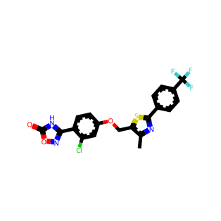 Cc1nc(-c2ccc(C(F)(F)F)cc2)sc1COc1ccc(-c2noc(=O)[nH]2)c(Cl)c1